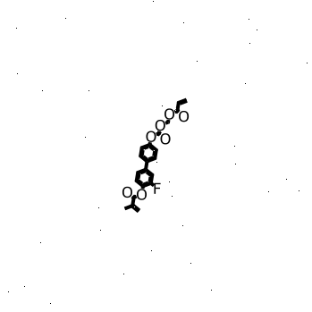 C=CC(=O)OCOC(=O)Oc1ccc(-c2ccc(OC(=O)C(=C)C)c(F)c2)cc1